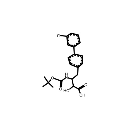 CC(C)(C)OC(=O)NC(Cc1ccc(-c2cccc(Cl)c2)cc1)C(O)C(=O)O